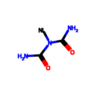 NC(=O)[N]([Ni])C(N)=O